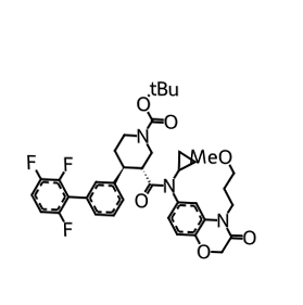 COCCCN1C(=O)COc2ccc(N(C(=O)[C@H]3CN(C(=O)OC(C)(C)C)CC[C@@H]3c3cccc(-c4c(F)ccc(F)c4F)c3)C3CC3)cc21